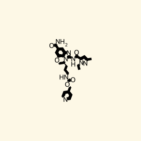 CCn1nc(C)cc1C(=O)Nc1nc2cc(C(N)=O)cc3c2n1[C@@H](CCCNC(=O)OCc1ccncc1)CO3